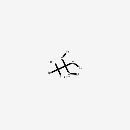 CCOC(=O)C(Br)(C=O)C(OCC)(OCC)OCC